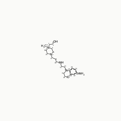 C[N+]1(CCO)CCN(CCCNCCN2CCOc3cc(N)ccc32)CC1